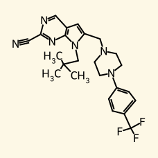 CC(C)(C)Cn1c(CN2CCN(c3ccc(C(F)(F)F)cc3)CC2)cc2cnc(C#N)nc21